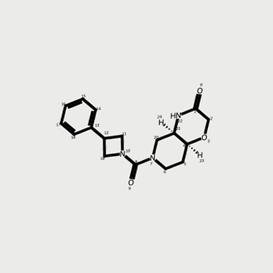 O=C1CO[C@H]2CCN(C(=O)N3CC(c4ccccc4)C3)C[C@H]2N1